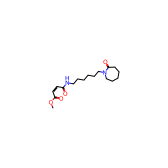 COC(=O)/C=C\C(=O)NCCCCCCN1CCCCCC1=O